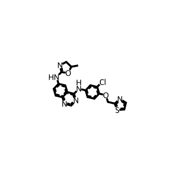 CC1CN=C(Nc2ccc3ncnc(Nc4ccc(OCc5nccs5)c(Cl)c4)c3c2)O1